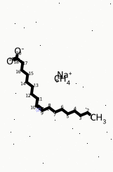 C.CCCCCCCC/C=C\CCCCCCCC(=O)[O-].[Na+]